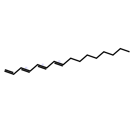 C=C/C=C/C=C/C=C/CCCCCCCC